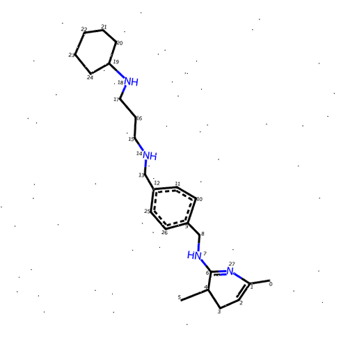 CC1=CCC(C)C(NCc2ccc(CNCCCNC3CCCCC3)cc2)=N1